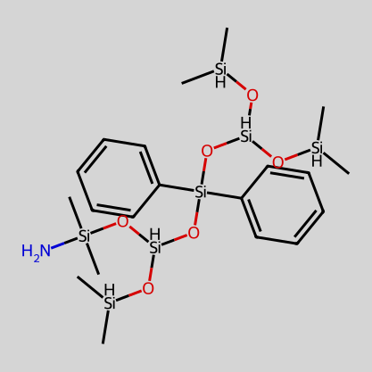 C[SiH](C)O[SiH](O[SiH](C)C)O[Si](O[SiH](O[SiH](C)C)O[Si](C)(C)N)(c1ccccc1)c1ccccc1